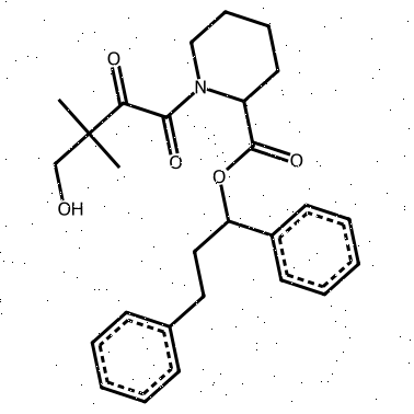 CC(C)(CO)C(=O)C(=O)N1CCCCC1C(=O)OC(CCc1ccccc1)c1ccccc1